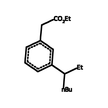 CCCCC(CC)c1cccc(CC(=O)OCC)c1